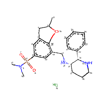 CC1Cc2cc(S(=O)(=O)N(C)C)cc(CN[C@H]3CCCN[C@H]3c3ccccc3)c2O1.Cl